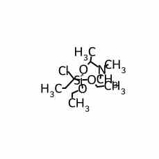 CCO[Si](OCC)(OC(C)N(C)C)C(Cl)CC